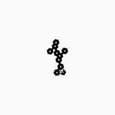 c1ccc(-c2cc3ccccc3cc2-c2ccc3c(c2)c(-c2ccccc2)cc2cc(-c4ccc5c(c4)-c4ccccc4[Si]54CCCC4)ccc23)cc1